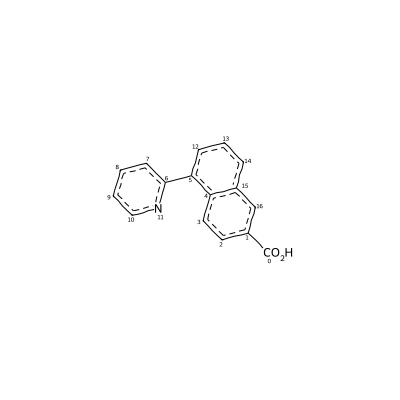 O=C(O)c1ccc2c(-c3ccccn3)cccc2c1